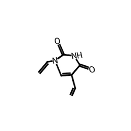 C=Cc1cn(C=C)c(=O)[nH]c1=O